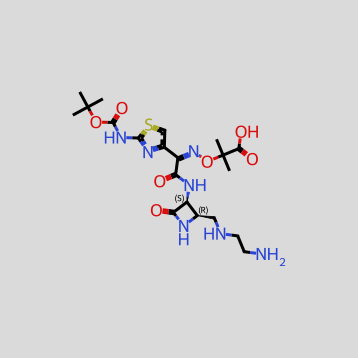 CC(C)(C)OC(=O)Nc1nc(C(=NOC(C)(C)C(=O)O)C(=O)N[C@@H]2C(=O)N[C@@H]2CNCCN)cs1